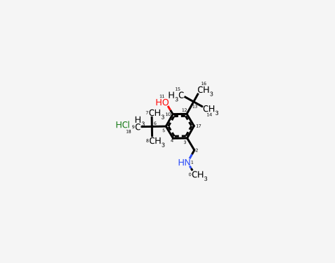 CNCc1cc(C(C)(C)C)c(O)c(C(C)(C)C)c1.Cl